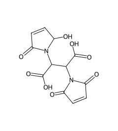 O=C(O)C(C(C(=O)O)N1C(=O)C=CC1O)N1C(=O)C=CC1=O